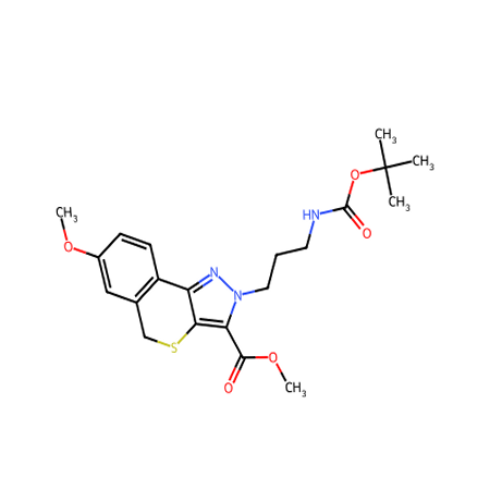 COC(=O)c1c2c(nn1CCCNC(=O)OC(C)(C)C)-c1ccc(OC)cc1CS2